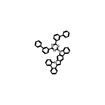 c1ccc(-c2cccc(-c3nc(-c4cccc(-c5ccccc5)c4)nc(-n4c5ccccc5c5cc6cc7c8ccccc8c8ccccc8n7c6cc54)n3)c2)cc1